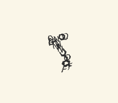 [O-][S+]1CCc2nc(N3CCC(Oc4ccc(F)c(F)c4)CC3)nc(NC3CCOCC3)c21